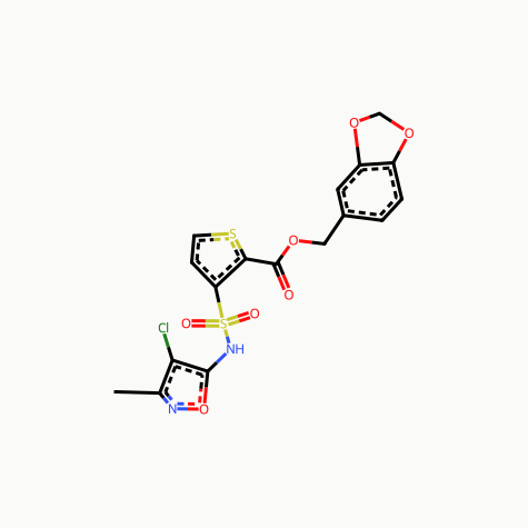 Cc1noc(NS(=O)(=O)c2ccsc2C(=O)OCc2ccc3c(c2)OCO3)c1Cl